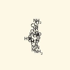 C=C1[C@H]2O[PH](=O)OC[C@H]3O[C@@H](n4cnc5c(N)ncnc54)[C@H](F)[C@@H]3O[P@](=O)(S)OC[C@H]1O[C@H]2n1nnc2c(C(N)=O)cccc21